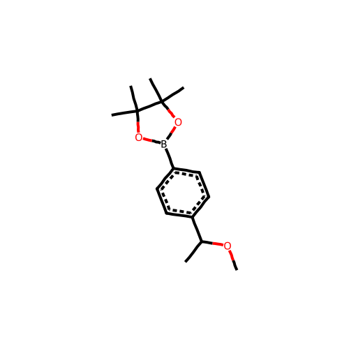 COC(C)c1ccc(B2OC(C)(C)C(C)(C)O2)cc1